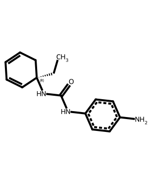 CC[C@]1(NC(=O)Nc2ccc(N)cc2)C=CC=CC1